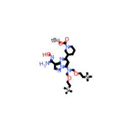 CC(C)(C)OC(=O)N1CCCC(c2cc(N(COCC[Si](C)(C)C)COCC[Si](C)(C)C)n3ncc(C(N)=NO)c3n2)C1